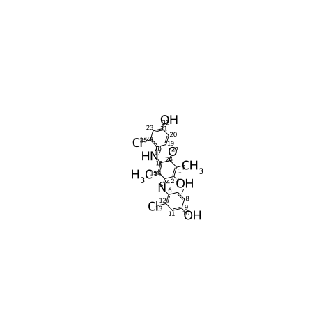 CC1=C(O)/C(=N\c2ccc(O)cc2Cl)C(C)=C(Nc2ccc(O)cc2Cl)C1=O